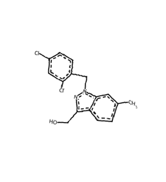 Cc1ccc2c(CO)nn(Cc3ccc(Cl)cc3Cl)c2c1